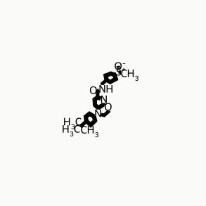 C[S+]([O-])c1ccc(CNC(=O)c2ccc3c(n2)OCCN3c2ccc(C(C)(C)C)cc2)cc1